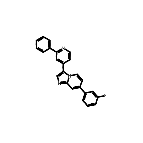 Fc1cccc(-c2ccn3c(-c4ccnc(-c5ccccc5)c4)cnc3c2)c1